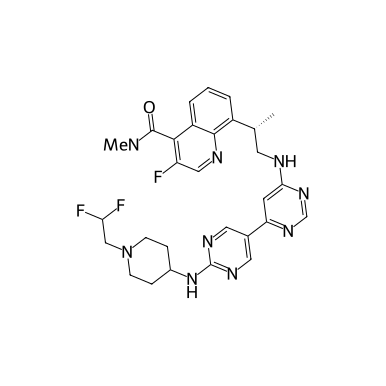 CNC(=O)c1c(F)cnc2c([C@H](C)CNc3cc(-c4cnc(NC5CCN(CC(F)F)CC5)nc4)ncn3)cccc12